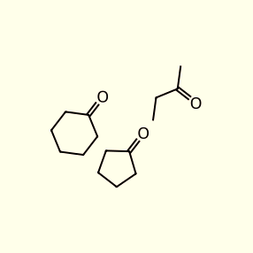 CCC(C)=O.O=C1CCCC1.O=C1CCCCC1